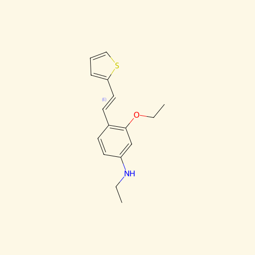 CCNc1ccc(/C=C/c2cccs2)c(OCC)c1